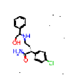 NC(=O)[C@H](CCNC(CO)c1ccccc1)c1ccc(Cl)cc1